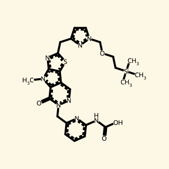 Cn1c2nc(Cc3ccn(COCC[Si](C)(C)C)n3)sc2c2cnn(Cc3cccc(NC(=O)O)n3)c(=O)c21